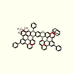 CC(C)(C)c1cc2c3c(c1)N(c1c(-c4ccccc4)cc(-c4ccccc4)cc1-c1ccccc1)c1ccccc1B3c1cc3c(cc1N2c1ccccc1)Oc1cc(N2C4CC5=CC(C4)CC2C5)cc2c1B3c1ccccc1N2c1c(-c2ccccc2)cc(-c2ccccc2)cc1-c1ccccc1